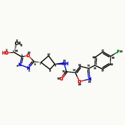 C[C@@H](O)c1nnc([C@H]2C[C@H](NC(=O)c3cc(-c4ccc(F)cc4)no3)C2)o1